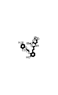 CC(C)(C)OC(=O)CC(NC(=O)CCc1cccc(O)c1OCCOc1cc(N)ccc1C(=O)O)C(=O)OC(C)(C)C